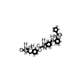 CC(Oc1ccc(CC2SC(=O)NC2=O)cc1)c1nc2ccc(Oc3ccccc3NC(=O)C3CCCC3)cc2[nH]1